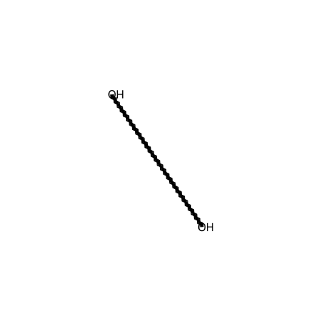 OCCCCCCCCCCCCCCCCCCCCCCCCCCCCCCCCCCCCCCCCCCCCCCCCCCCCCCCCCCO